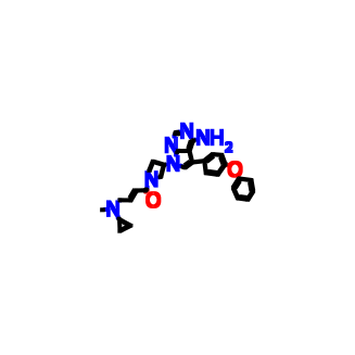 CN(CC=CC(=O)N1CCC(n2cc(-c3ccc(Oc4ccccc4)cc3)c3c(N)ncnc32)C1)C1CC1